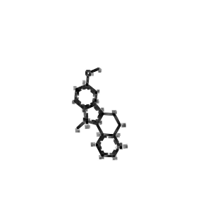 COc1ccc2c(c1)c1c(n2C)-c2cccnc2CC1